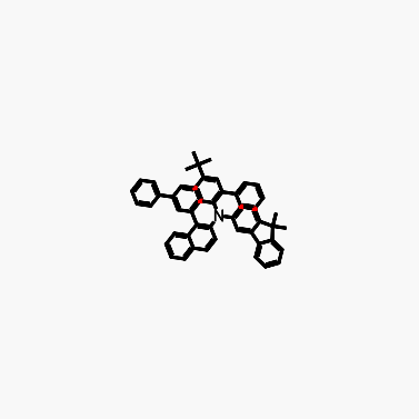 CC(C)(C)c1ccc(N(c2ccc3c(c2)-c2ccccc2C3(C)C)c2ccc3ccccc3c2-c2cccc(-c3ccccc3)c2)c(-c2ccccc2)c1